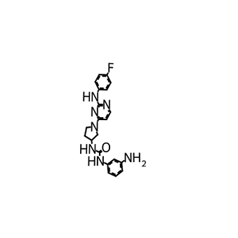 Nc1cccc(NC(=O)NC2CCN(c3ccnc(Nc4ccc(F)cc4)n3)C2)c1